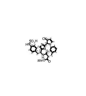 COC(=O)[C@@H](Cc1ccccc1)C(=O)N[C@@H](Cc1ccc(NS(=O)(=O)O)cc1)c1csc(C2SC=CC2Cl)n1